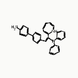 Nc1ccc(-c2ccc(C=C(C3=CC=CC=CN3)N(c3ccccc3)c3ccccc3)cc2)cc1